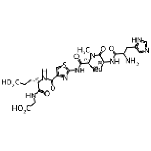 CCC(C)[C@H](NC(=O)C(N)Cc1cnc[nH]1)C(=O)N(C)[C@H](C(=O)Nc1nc(C(=O)N[C@@H](CCC(=O)O)C(=O)NCC(=O)O)cs1)C(C)C